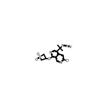 CC(C)(N=[N+]=[N-])c1cnc(OC2CS(=O)(=O)C2)c2cnc(Cl)cc12